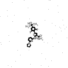 CC(C)(O)c1cc(F)c(-c2cc(C(N)=O)c(Nc3cccc(N4CCCC4)n3)s2)c(F)c1